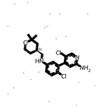 CC1(C)C[C@@H](CNc2ccc(Cl)c(-c3cc(N)ncc3Cl)c2)CCO1